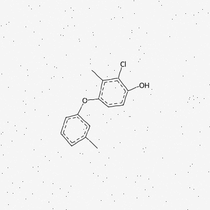 Cc1cccc(Oc2ccc(O)c(Cl)c2C)c1